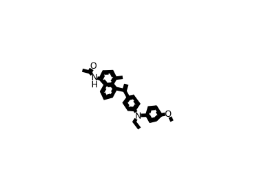 C=C(c1ccc(N(CC)c2ccc(OC)cc2)cc1)c1cccc2c(NC(C)=O)ccc(C)c12